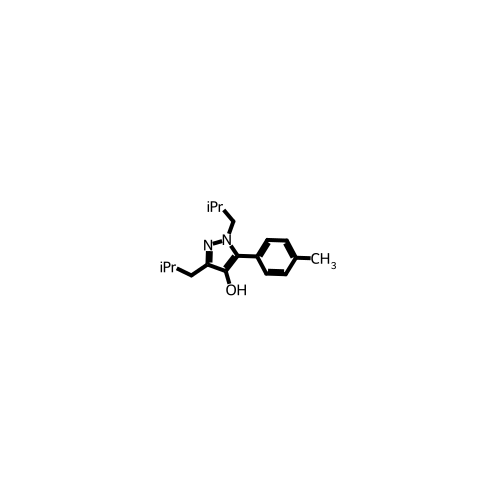 Cc1ccc(-c2c(O)c(CC(C)C)nn2CC(C)C)cc1